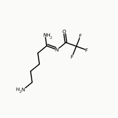 NCCCCC(N)=NC(=O)C(F)(F)F